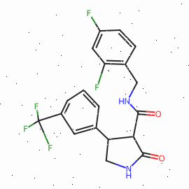 O=C(NCc1ccc(F)cc1F)C1C(=O)NCC1c1cccc(C(F)(F)F)c1